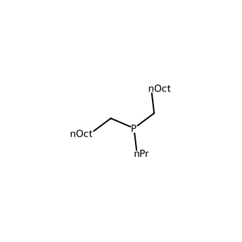 CCCCCCCCCP(CCC)CCCCCCCCC